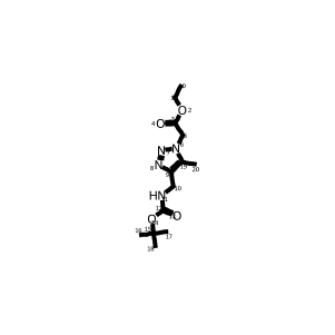 CCOC(=O)Cn1nnc(CNC(=O)OC(C)(C)C)c1C